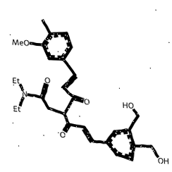 CCN(CC)C(=O)CC(C(=O)/C=C/c1ccc(CO)c(CO)c1)C(=O)/C=C/c1ccc(C)c(OC)c1